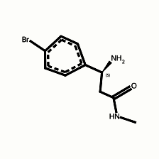 CNC(=O)C[C@H](N)c1ccc(Br)cc1